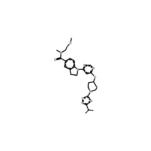 COCCN(C)C(=O)c1ccc2c(c1)CCN2c1cc(OC2CCN(c3nc(C(C)C)no3)CC2)ncn1